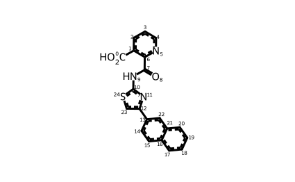 O=C(O)c1cccnc1C(=O)Nc1nc(-c2ccc3ccccc3c2)cs1